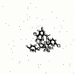 Cc1cc([C@@H](C)Nc2ccc(Cl)nc2C(=O)NS(C)(=O)=O)c2nc(N3CC[C@H](Oc4ccc(C)nn4)C3)n(C)c(=O)c2c1